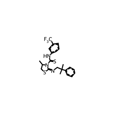 CC1CSC(=NCC(C)(C)c2ccccc2)N1C(=S)Nc1cccc(C(F)(F)F)c1